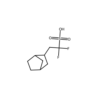 O=S(=O)(O)C(F)(F)CC1CC2CCC1C2